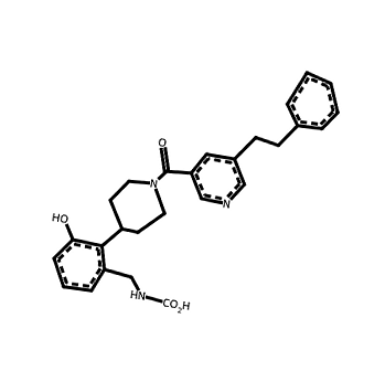 O=C(O)NCc1cccc(O)c1C1CCN(C(=O)c2cncc(CCc3ccccc3)c2)CC1